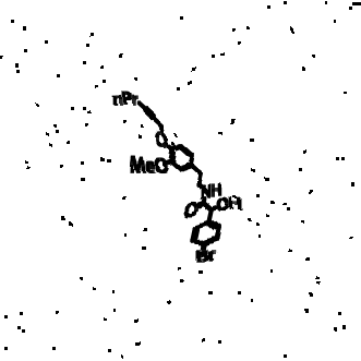 CCCC#CCOc1ccc(CCNC(=O)C(O)c2ccc(Br)cc2)cc1OC